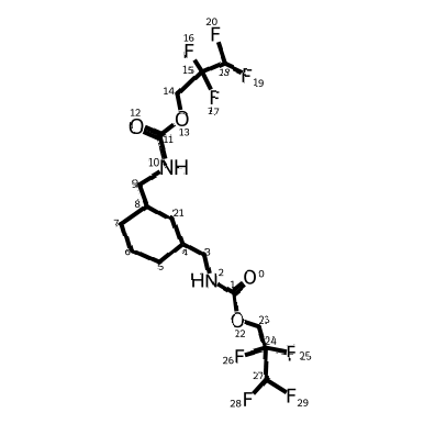 O=C(NCC1CCCC(CNC(=O)OCC(F)(F)C(F)F)C1)OCC(F)(F)C(F)F